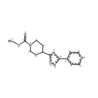 CC(C)(C)OC(=O)N1CCC(c2nc(-c3ccncc3)no2)CC1